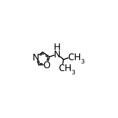 CC(C)Nc1cnco1